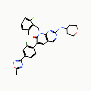 Cc1nc(-c2ccc(-c3cc4cnc(NC5CCOCC5)nc4n(Cc4c(C)cccc4F)c3=O)c(Cl)c2)no1